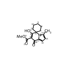 COC(=O)C1=C(O)C2(CCCCC2)n2c(C)ccc2C1=O